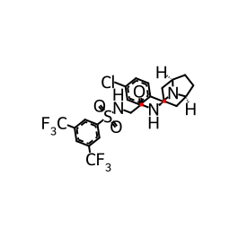 O=C(CNS(=O)(=O)c1cc(C(F)(F)F)cc(C(F)(F)F)c1)N[C@H]1C[C@H]2CC[C@@H](C1)N2Cc1ccc(Cl)cc1